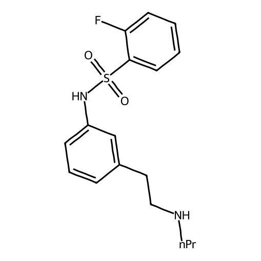 CCCNCCc1cccc(NS(=O)(=O)c2ccccc2F)c1